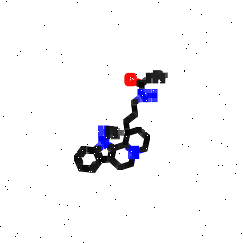 CCCC(=O)NCCCC1(CC)CCCN2CCc3c([nH]c4ccccc34)C21